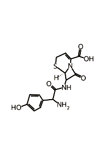 NC(C(=O)NC1C(=O)N2C(C(=O)O)=CCS[C@H]12)c1ccc(O)cc1